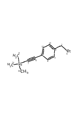 CC(C)Cc1ccc(C#C[Si](C)(C)C)cc1